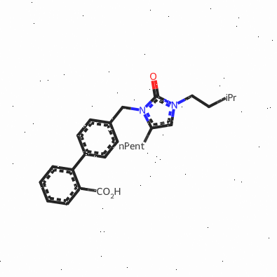 CCCCCc1cn(CCC(C)C)c(=O)n1Cc1ccc(-c2ccccc2C(=O)O)cc1